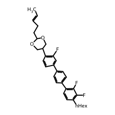 C/C=C/CCC1OCC(c2ccc(-c3ccc(-c4ccc(CCCCCC)c(F)c4F)cc3)cc2F)CO1